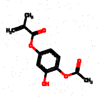 C=C(C)C(=O)Oc1ccc(OC(C)=O)c(O)c1